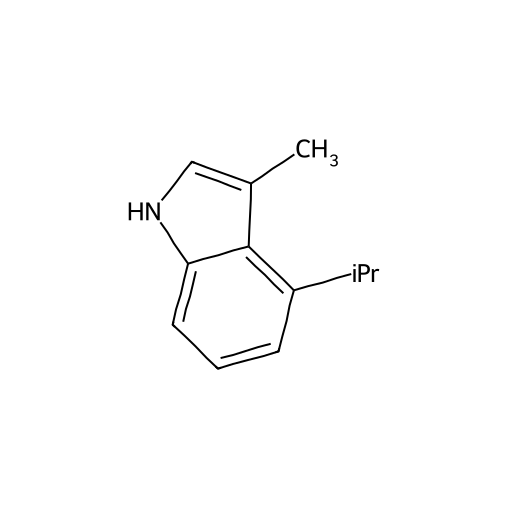 Cc1c[nH]c2cccc(C(C)C)c12